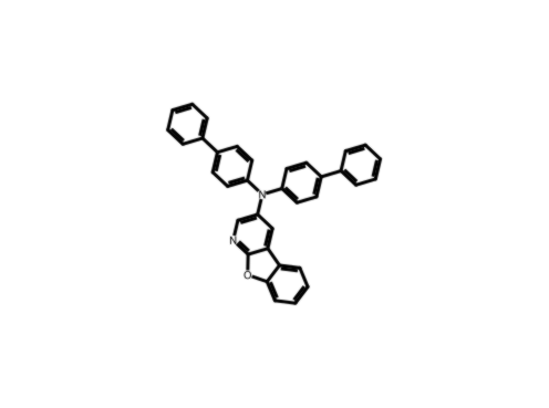 c1ccc(-c2ccc(N(c3ccc(-c4ccccc4)cc3)c3cnc4oc5ccccc5c4c3)cc2)cc1